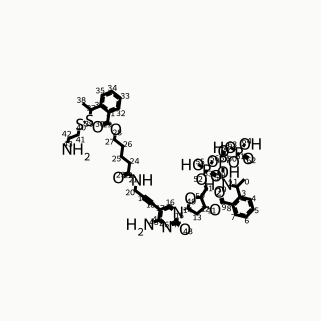 CC(N)c1ccccc1C(=O)O[C@@H]1C[C@H](n2cc(C#CCNC(=O)CCCCOC(=O)c3ccccc3C(C)SSCCN)c(N)nc2=O)OC1COP(=O)(O)OP(=O)(O)OP(=O)(O)O